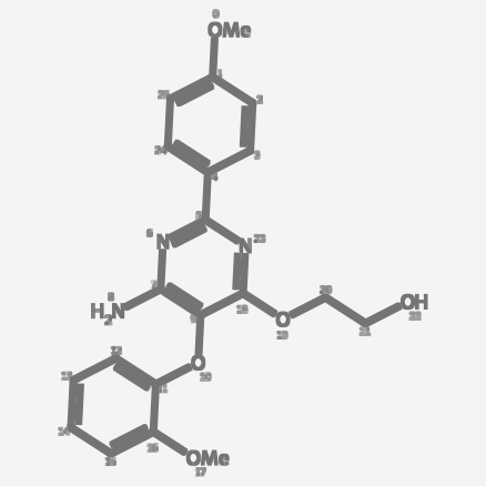 COc1ccc(-c2nc(N)c(Oc3ccccc3OC)c(OCCO)n2)cc1